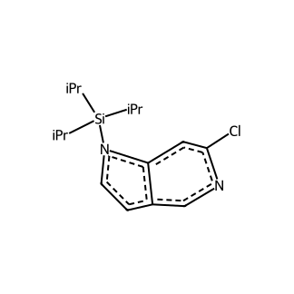 CC(C)[Si](C(C)C)(C(C)C)n1ccc2cnc(Cl)cc21